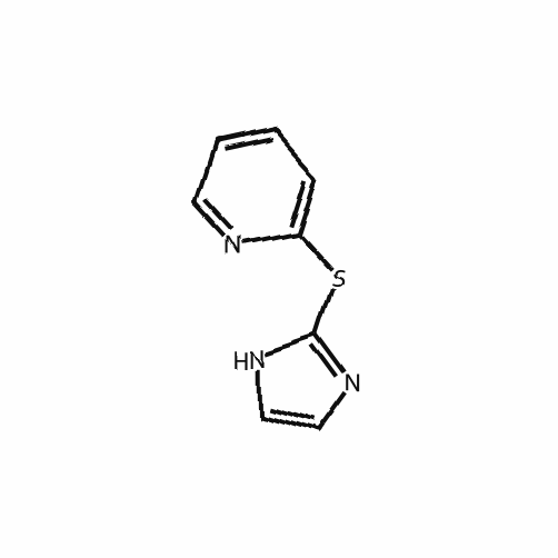 c1ccc(Sc2ncc[nH]2)nc1